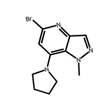 Cn1ncc2nc(Br)cc(N3CCCC3)c21